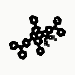 CC1(C)c2cc(N(c3ccccc3)c3ccccc3)ccc2-c2c1c1cc(-c3ccccc3)cc3c(-c4ccc(N(c5ccccc5)c5ccccc5)cc4)cc4cc(-c5ccccc5)cc2c4c31